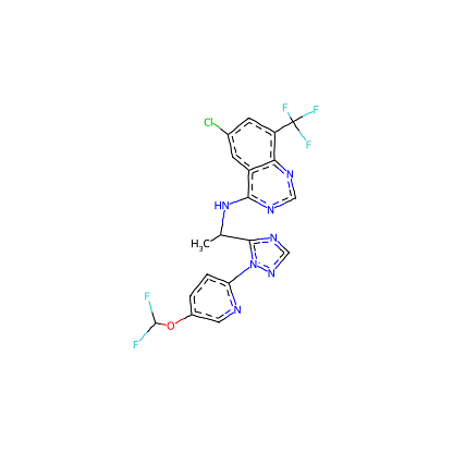 CC(Nc1ncnc2c(C(F)(F)F)cc(Cl)cc12)c1ncnn1-c1ccc(OC(F)F)cn1